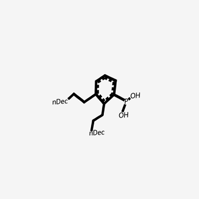 CCCCCCCCCCCCc1cccc(P(O)O)c1CCCCCCCCCCCC